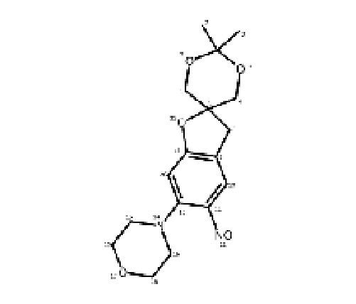 CC1(C)OCC2(CO1)Cc1cc(N=O)c(N3CCOCC3)cc1O2